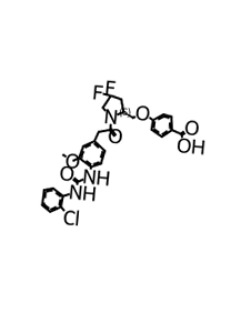 COc1cc(CC(=O)N2CC(F)(F)C[C@H]2COc2ccc(C(=O)O)cc2)ccc1NC(=O)Nc1ccccc1Cl